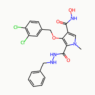 Cn1cc(C(=O)NO)c(OCc2ccc(Cl)c(Cl)c2)c1C(=O)NNCc1ccccc1